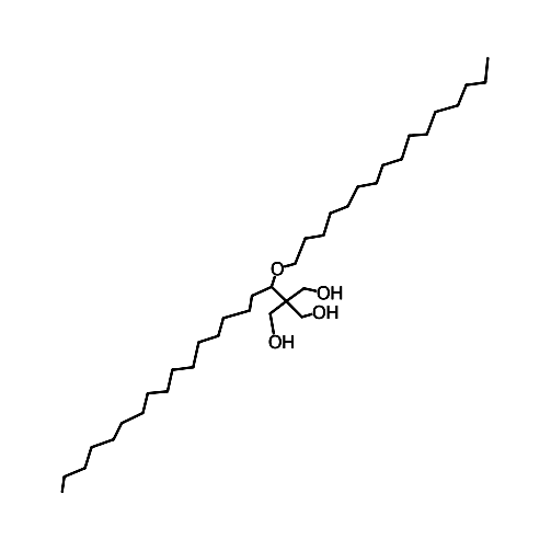 CCCCCCCCCCCCCCCCOC(CCCCCCCCCCCCCCCC)C(CO)(CO)CO